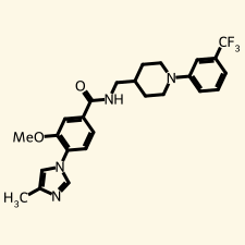 COc1cc(C(=O)NCC2CCN(c3cccc(C(F)(F)F)c3)CC2)ccc1-n1cnc(C)c1